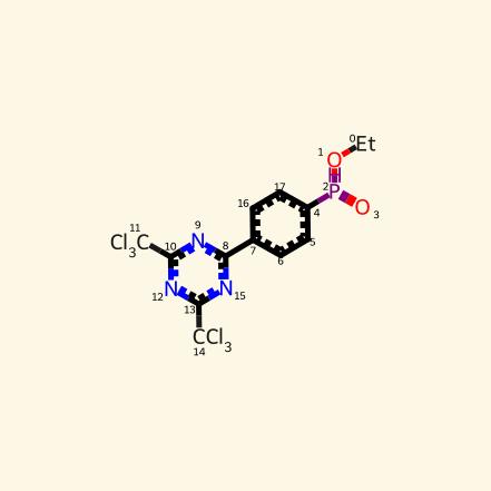 CCO[PH](=O)c1ccc(-c2nc(C(Cl)(Cl)Cl)nc(C(Cl)(Cl)Cl)n2)cc1